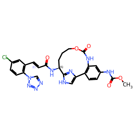 COC(=O)Nc1ccc2c(c1)NC(=O)OCCC[C@H](NC(=O)/C=C/c1cc(Cl)ccc1-n1cnnn1)c1nc-2c[nH]1